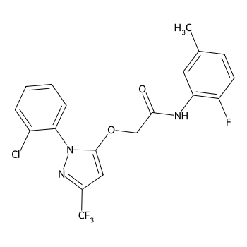 Cc1ccc(F)c(NC(=O)COc2cc(C(F)(F)F)nn2-c2ccccc2Cl)c1